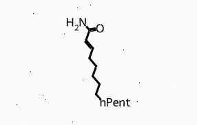 CCCCCCCCCCC=CC(N)=O